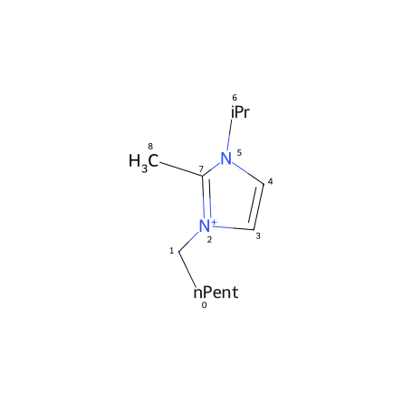 CCCCCC[n+]1ccn(C(C)C)c1C